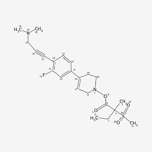 CCC(C)(C(=O)ON1CC=C(c2ccc(C#CCN(C)C)c(F)c2)CC1)S(C)(=O)=O